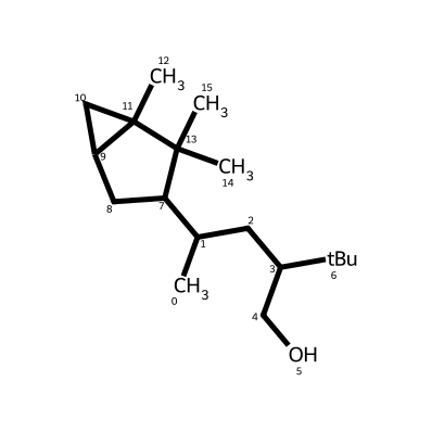 CC(CC(CO)C(C)(C)C)C1CC2CC2(C)C1(C)C